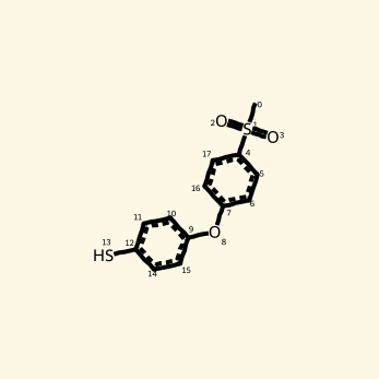 CS(=O)(=O)c1ccc(Oc2ccc(S)cc2)cc1